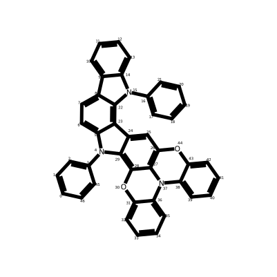 c1ccc(-n2c3ccc4c5ccccc5n(-c5ccccc5)c4c3c3cc4c5c(c32)Oc2ccccc2N5c2ccccc2O4)cc1